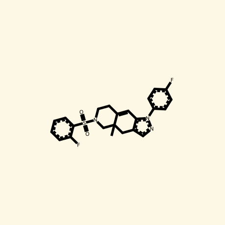 CC12Cc3cnn(-c4ccc(F)cc4)c3C=C1CCN(S(=O)(=O)c1ccccc1F)C2